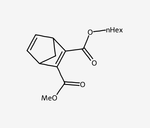 CCCCCCOC(=O)C1=C(C(=O)OC)C2C=CC1C2